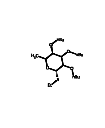 CCCCOC1C(OCCCC)[C@H](SCC)OC(C)[C@H]1OCCCC